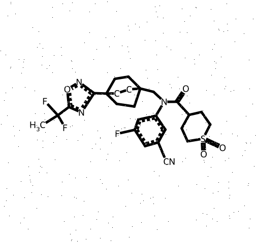 CC(F)(F)c1nc(C23CCC(CN(C(=O)C4CCS(=O)(=O)CC4)c4cc(F)cc(C#N)c4)(CC2)CC3)no1